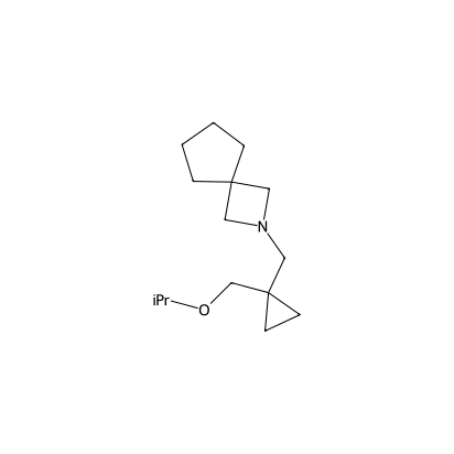 CC(C)OCC1(CN2CC3(CCCC3)C2)CC1